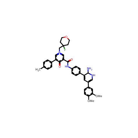 COc1ccc(C2=CNC(N)C(c3ccc(NC(=O)c4cn(CC5(F)CCOCC5)cc(-c5ccc(C)cc5)c4=O)cc3)=C2)cc1OC